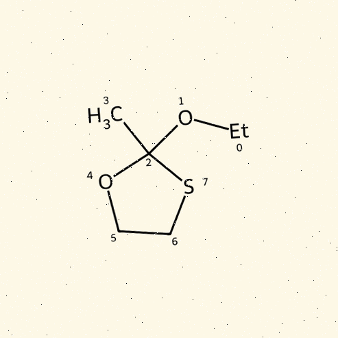 CCOC1(C)OCCS1